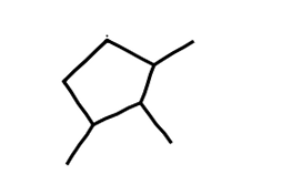 CC1[CH]CC(C)C1C